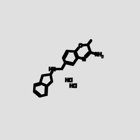 CC1Oc2ccc(CNC3Cc4ccccc4C3)cc2N=C1N.Cl.Cl